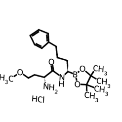 COCC[C@@H](N)C(=O)N[C@@H](CCCc1ccccc1)B1OC(C)(C)C(C)(C)O1.Cl